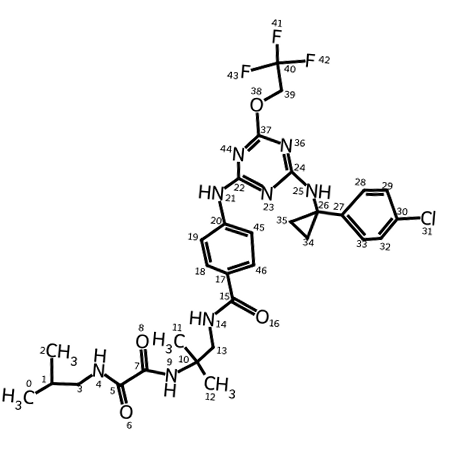 CC(C)CNC(=O)C(=O)NC(C)(C)CNC(=O)c1ccc(Nc2nc(NC3(c4ccc(Cl)cc4)CC3)nc(OCC(F)(F)F)n2)cc1